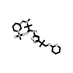 CN(C[C@@H]1CCCN(S(C)(=O)=O)C1)C(C)(C)C(=O)Nc1cc(C(C)(C)COC2CCCCO2)no1